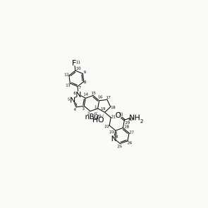 CCCC[C@]12Cc3cnn(-c4ccc(F)cc4)c3C=C1CC[C@@]2(O)CCc1ncccc1C(N)=O